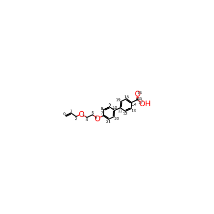 C=CCOCCOc1ccc(-c2ccc(C(=O)O)cc2)cc1